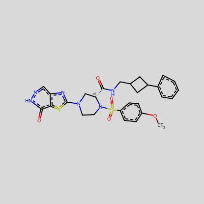 O=C(NCC1CC(c2ccccc2)C1)[C@H]1CN(c2nc3cn[nH]c(=O)c3s2)CCN1S(=O)(=O)c1ccc(OC(F)(F)F)cc1